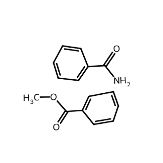 COC(=O)c1ccccc1.NC(=O)c1ccccc1